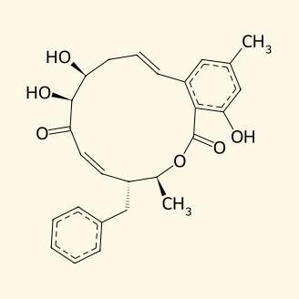 Cc1cc(O)c2c(c1)/C=C/C[C@H](O)[C@H](O)C(=O)/C=C\[C@@H](Cc1ccccc1)[C@H](C)OC2=O